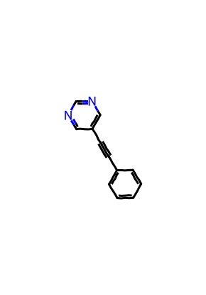 C(#Cc1cncnc1)c1ccccc1